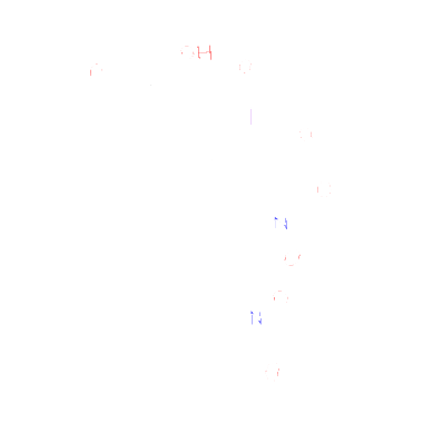 O=C(O)c1cc2cccc([N+](=O)[O-])c2c([N+](=O)[O-])c1I(=O)=O